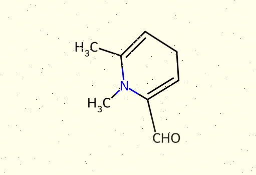 CC1=CCC=C(C=O)N1C